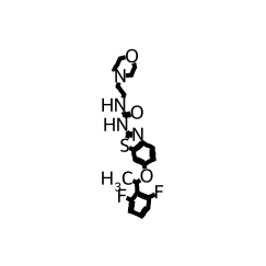 CC(Oc1ccc2nc(NC(=O)NCCN3CCOCC3)sc2c1)c1c(F)cccc1F